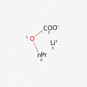 CCCOC(=O)[O-].[Li+]